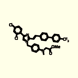 COC(=O)CN(C)c1ccc(Cn2cc(-c3ccc(Cl)cc3Cl)nc2C=Cc2ccc(-c3ccc(C(F)(F)F)cc3)cc2)cc1